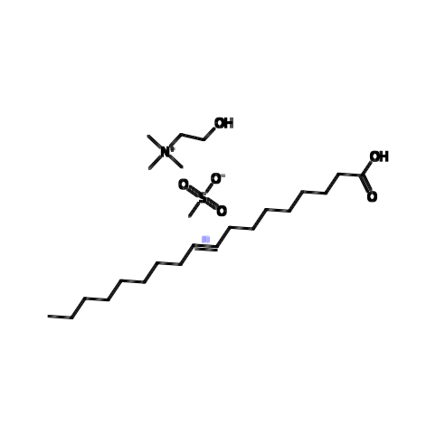 CCCCCCCC/C=C/CCCCCCCC(=O)O.CS(=O)(=O)[O-].C[N+](C)(C)CCO